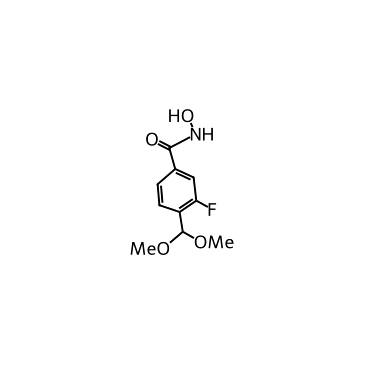 COC(OC)c1ccc(C(=O)NO)cc1F